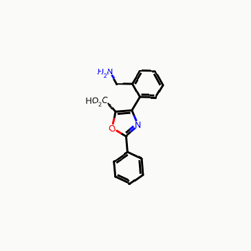 NCc1ccccc1-c1nc(-c2ccccc2)oc1C(=O)O